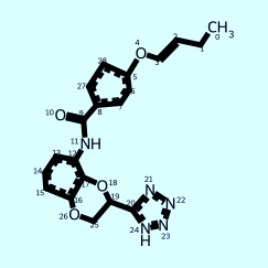 CCC=COc1ccc(C(=O)Nc2cccc3c2OC(c2nnn[nH]2)CO3)cc1